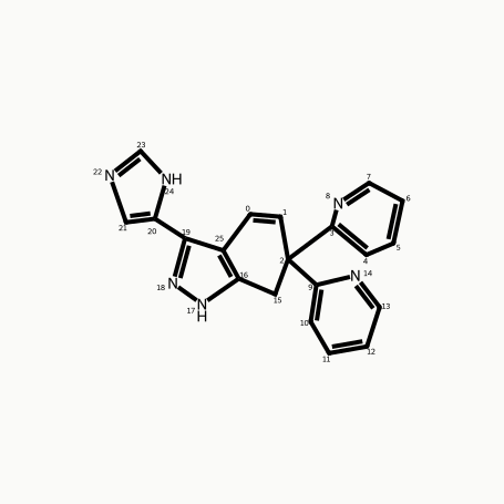 C1=CC(c2ccccn2)(c2ccccn2)Cc2[nH]nc(-c3cnc[nH]3)c21